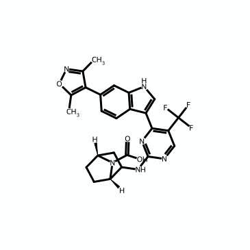 Cc1noc(C)c1-c1ccc2c(-c3nc(NC4C[C@H]5CC[C@@H]4N5C(=O)O)ncc3C(F)(F)F)c[nH]c2c1